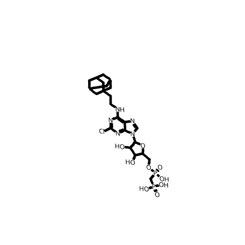 O=P(O)(O)CP(=O)(O)OCC1OC(n2cnc3c(NCCC45CC6CC(CC(C6)C4)C5)nc(Cl)nc32)C(O)C1O